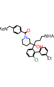 CCc1cccc(-c2c(Cl)cccc2C(O)(CCCNC(C)=O)C2CCCN(C(=O)c3ccc(CNC)cc3)C2)c1